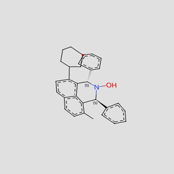 Cc1ccc2ccc(C3CCCCC3)c3c2c1[C@H](c1ccccc1)N(O)[C@H]3c1ccccc1